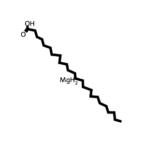 CCCCCCCCCCCCCCCCCCCCCCCC(=O)O.[MgH2]